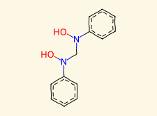 ON(CN(O)c1ccccc1)c1ccccc1